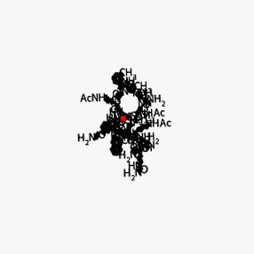 CC(=O)NCCCC[C@@H]1NC(=O)[C@H](Cc2c[nH]c3c(C)cccc23)NC(=O)[C@H]([C@@H](C)O)NC(O)[C@H](CC(N)=O)NC(=O)[C@@H](NC(C)=O)C(C)(C)SSC(C)(C)[C@@H](C(=O)N[C@@H](Cc2ccc(OCCN)cc2)C(=O)N[C@@H](Cc2ccc3ccccc3c2)C(=O)N[C@@](C)(CCCCN)C(=O)N[C@@H](CCCCNC(C)=O)C(=O)N[C@@H](CC(N)=O)C(=O)N[C@@H](CCCNC(N)=O)C(N)=O)NC1=O